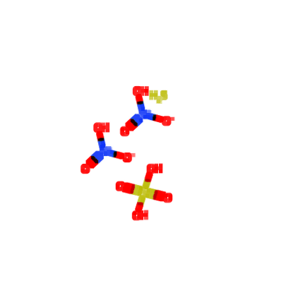 O=S(=O)(O)O.O=[N+]([O-])O.O=[N+]([O-])O.S